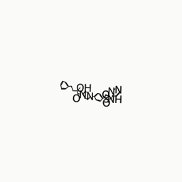 O=C([C@H](O)CCc1ccccc1)N1CCN(c2ccc(S(=O)(=O)Nc3ccncn3)cc2)CC1